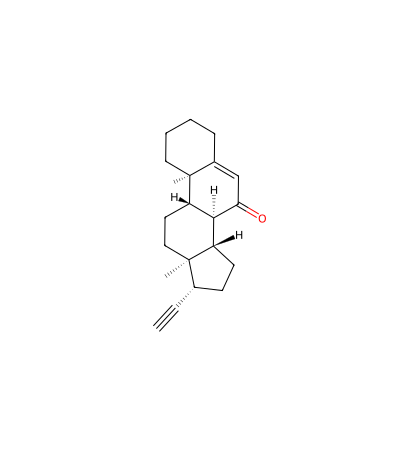 C#C[C@H]1CC[C@H]2[C@@H]3C(=O)C=C4CCCC[C@]4(C)[C@H]3CC[C@]12C